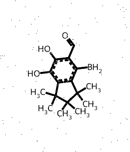 Bc1c(C=O)c(O)c(O)c2c1C(C)(C)C(C)(C)C2(C)C